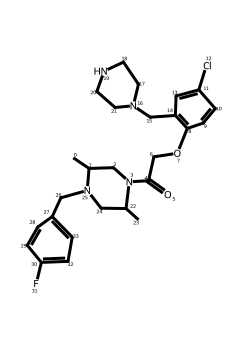 CC1CN(C(=O)COc2ccc(Cl)cc2CN2CCNCC2)C(C)CN1Cc1ccc(F)cc1